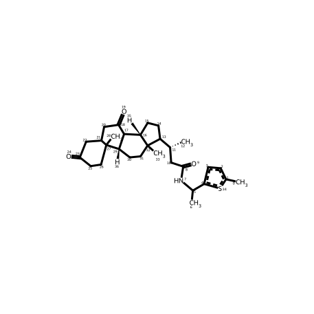 Cc1ccc(C(C)NC(=O)C[C@@H](C)C2CC[C@H]3C4C(=O)CC5CC(=O)CCC5(C)[C@H]4CCC23C)s1